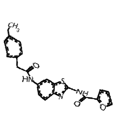 Cc1ccc(CC(=O)Nc2ccc3nc(NC(=O)c4ccco4)sc3c2)cc1